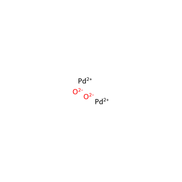 [O-2].[O-2].[Pd+2].[Pd+2]